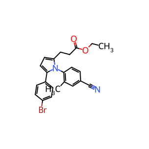 CCOC(=O)CCc1ccc(-c2ccc(Br)cc2)n1-c1ccc(C#N)cc1C